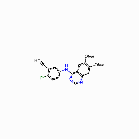 C#Cc1cc(Nc2ncnc3cc(OC)c(OC)cc23)ccc1F